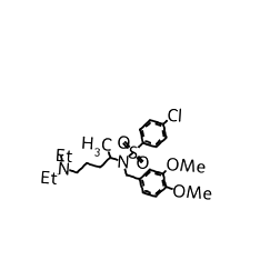 CCN(CC)CCCC(C)N(Cc1ccc(OC)c(OC)c1)S(=O)(=O)c1ccc(Cl)cc1